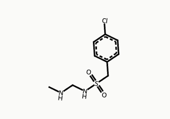 CNCNS(=O)(=O)Cc1ccc(Cl)cc1